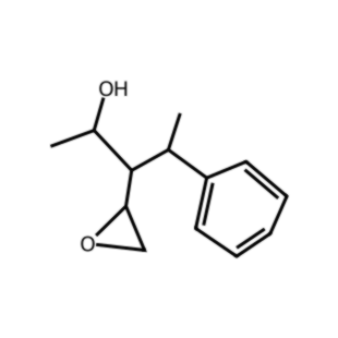 CC(O)C(C1CO1)C(C)c1ccccc1